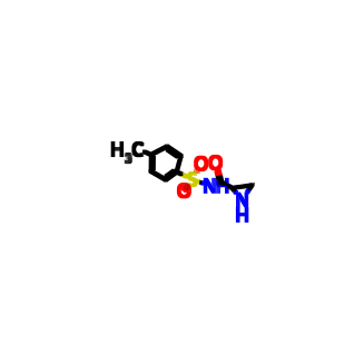 Cc1ccc(S(=O)(=O)NC(=O)C2CN2)cc1